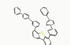 c1ccc(-c2ccc(-c3cccc(-c4cccc5c4sc4c(-c6cccc(-c7ccc(-c8ccccc8)cc7)c6)cccc45)c3)cc2)cc1